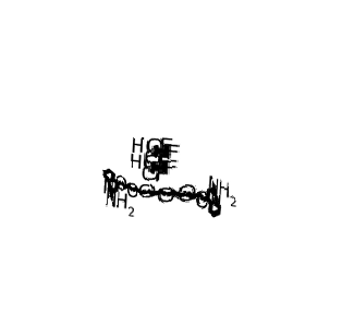 Nc1cc(OCCOCCOCCOCCOCCOc2cc(N)nc3ccccc23)c2ccccc2n1.O=C(O)C(F)(F)F.O=C(O)C(F)(F)F